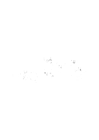 CS(=O)(=O)c1ccc(CN2CCC3(CCN(CCC(N)c4ccccn4)CC3)C2=O)cc1.Cl.Cl